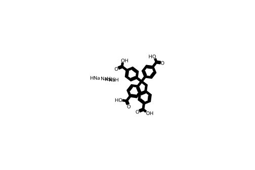 O=C(O)c1ccc(CC(c2ccc(C(=O)O)cc2)(c2ccc(C(=O)O)cc2)c2ccc(C(=O)O)cc2)cc1.[NaH].[NaH].[NaH].[NaH]